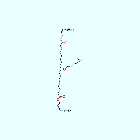 CCCCCC/C=C\COC(=O)CCCCCCCC(CCCCCCCC(=O)OC/C=C\CCCCCC)OCCCCN(C)C